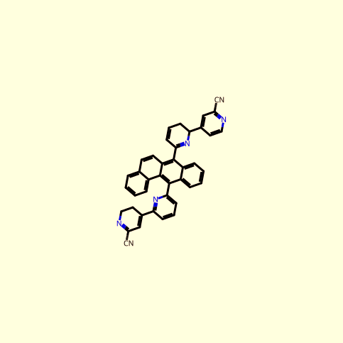 N#CC1=NCCC(c2cccc(-c3c4ccccc4c(C4=NC(c5ccnc(C#N)c5)CC=C4)c4ccc5ccccc5c34)n2)=C1